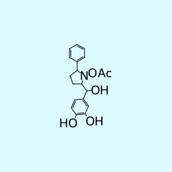 CC(=O)ON1C(c2ccccc2)CCC1C(O)c1ccc(O)c(O)c1